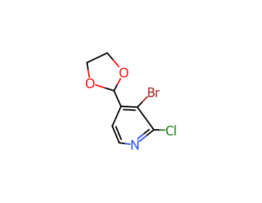 Clc1nccc(C2OCCO2)c1Br